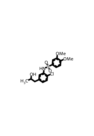 COc1ccc(S(=O)(=O)Nc2cc(CC(C)O)ccc2Cl)cc1OC